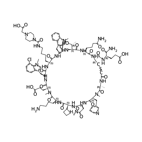 C[C@H]1NC(=O)CSC[C@@H](C(=O)N[C@H](CCC(=O)O)C(N)=O)NC(=O)[C@H](CCCC(N)=O)NC(=O)[C@H]([C@@H](C)O)NC(=O)[C@H](Cc2cn(C)c3ccccc23)NC(=O)[C@H](CCCCNC(=O)N2CCN(CC(=O)O)CC2)NC(=O)[C@H](Cc2cn(C)c3c(Cl)cccc23)NC(=O)[C@H](CCC(=O)O)N(C)C(=O)[C@H](CCCCN)NC(=O)[C@H](C2CCC2)NC(=O)[C@H](CC(N)=O)NC(=O)[C@H](Cc2cccnc2)N(C)C1=O